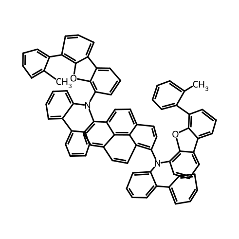 Cc1ccccc1-c1cccc2c1oc1c(N(c3ccccc3-c3ccccc3)c3ccc4ccc5c(N(c6ccccc6-c6ccccc6)c6cccc7c6oc6c(-c8ccccc8C)cccc67)ccc6ccc3c4c65)cccc12